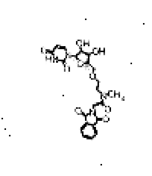 CN(CCOC[C@H]1O[C@@H](n2ccc(=O)[nH]c2=O)C(O)[C@H]1O)C(=O)CN1C(=O)c2ccccc2C1=O